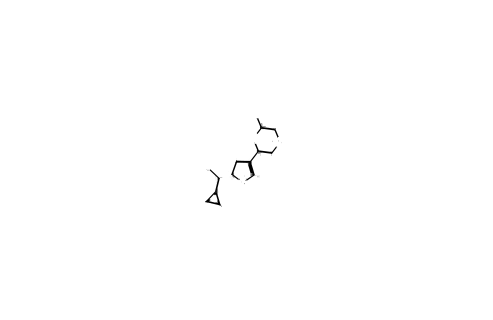 CC(C1CC1)[C@@H]1CC(C2CNCC(Cl)O2)=CN1